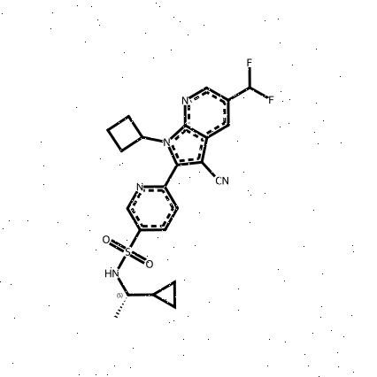 C[C@H](NS(=O)(=O)c1ccc(-c2c(C#N)c3cc(C(F)F)cnc3n2C2CCC2)nc1)C1CC1